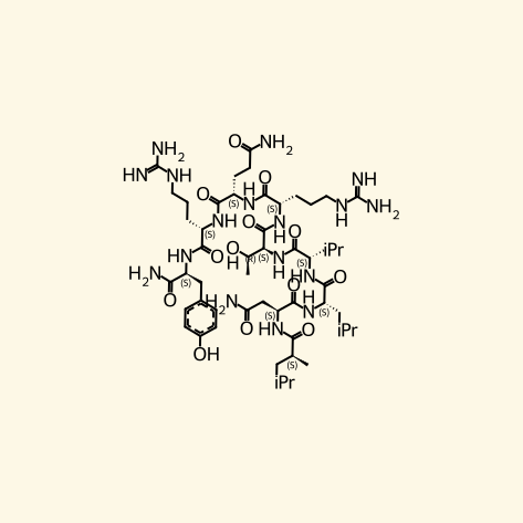 CC(C)C[C@H](NC(=O)[C@H](CC(N)=O)NC(=O)[C@@H](C)CC(C)C)C(=O)N[C@H](C(=O)N[C@H](C(=O)N[C@@H](CCCNC(=N)N)C(=O)N[C@@H](CCC(N)=O)C(=O)N[C@@H](CCCNC(=N)N)C(=O)N[C@@H](Cc1ccc(O)cc1)C(N)=O)[C@@H](C)O)C(C)C